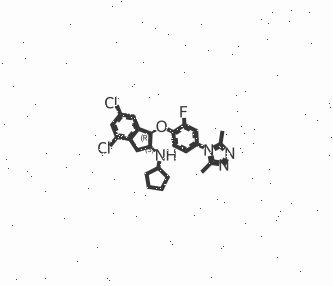 Cc1nnc(C)n1-c1ccc(O[C@@H]2c3cc(Cl)cc(Cl)c3C[C@@H]2NC2CCCC2)c(F)c1